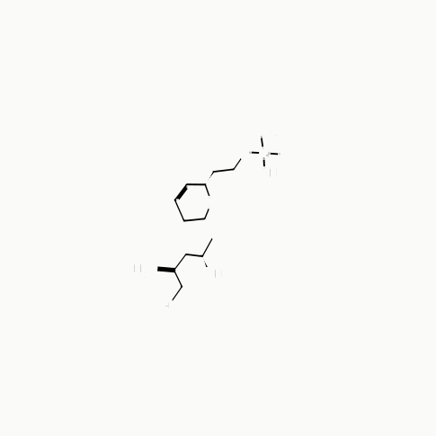 C=C(CBr)C[C@H](C)C[C@@H]1CC=C[C@@H](CCO[Si](C)(C)C(C)(C)C)O1